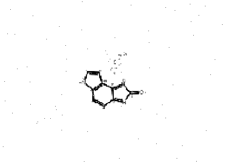 O=C1N=c2ccc3[nH]ccc3c2=N1.[Cl-].[Cl-].[Fe+2]